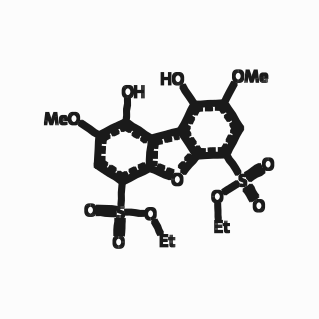 CCOS(=O)(=O)c1cc(OC)c(O)c2c1oc1c(S(=O)(=O)OCC)cc(OC)c(O)c12